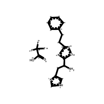 NC(Cc1c[nH]cn1)c1nc(CCc2ccccc2)no1.O=C(O)C(F)(F)F